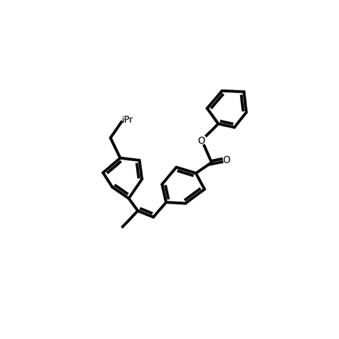 CC(=Cc1ccc(C(=O)Oc2ccccc2)cc1)c1ccc(CC(C)C)cc1